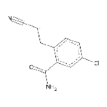 N#C[CH]Cc1ccc(Cl)cc1C(N)=O